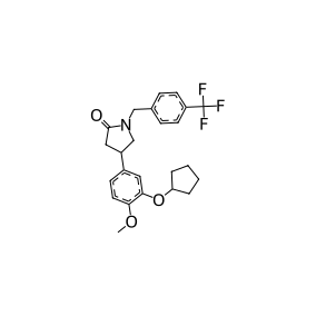 COc1ccc(C2CC(=O)N(Cc3ccc(C(F)(F)F)cc3)C2)cc1OC1CCCC1